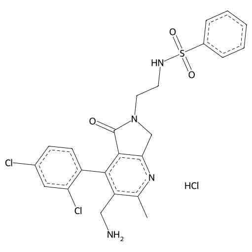 Cc1nc2c(c(-c3ccc(Cl)cc3Cl)c1CN)C(=O)N(CCNS(=O)(=O)c1ccccc1)C2.Cl